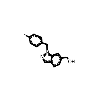 OCc1ccc2cnn(Cc3ccc(F)cc3)c2c1